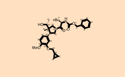 CCCC[C@@H](NC(=O)OCc1ccccc1)C(=O)N1C[C@@H](c2ccc(OC)c(OCC3CC3)c2)[C@](C)([C@@H](C)O)C1